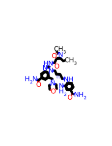 CCc1nc(C)oc1C(=O)Nc1nc2cc(C(N)=O)cc(CN3CCOCC3)c2n1C/C=C/CNc1ccc(C(N)=O)cc1N